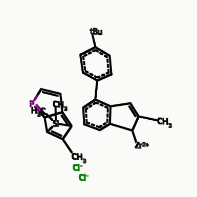 CC1=C2C3=PC=CC3=C1[Si]2(C)C.CC1=Cc2c(-c3ccc(C(C)(C)C)cc3)cccc2[CH]1[Zr+2].[Cl-].[Cl-]